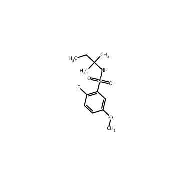 CCC(C)(C)NS(=O)(=O)c1cc(OC)ccc1F